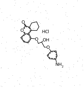 Cl.Nc1ccc(OCC(O)COc2cccc3oc(=O)c4c(c23)CCCC4)cc1